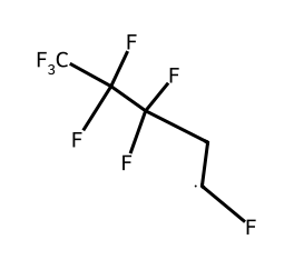 F[CH]CC(F)(F)C(F)(F)C(F)(F)F